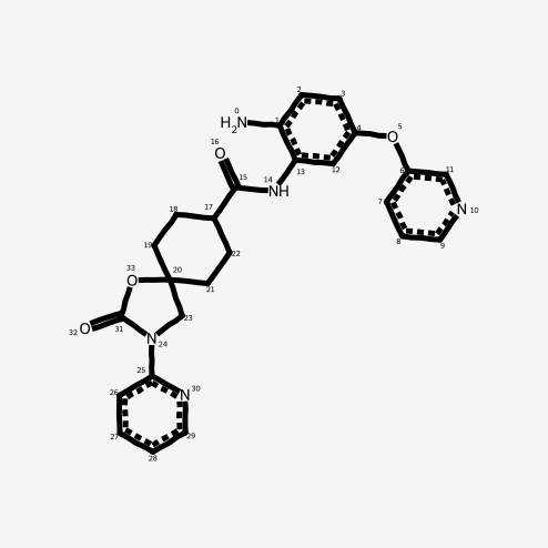 Nc1ccc(Oc2cccnc2)cc1NC(=O)C1CCC2(CC1)CN(c1ccccn1)C(=O)O2